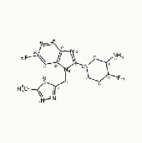 Cc1nnc(Cn2c(N3CCC(F)C(N)C3)nc3ccc(F)cc32)s1